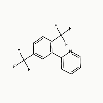 FC(F)(F)c1ccc(C(F)(F)F)c(-c2c[c]ccn2)c1